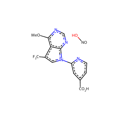 COc1ncnc2c1c(C(F)(F)F)cn2-c1cc(C(=O)O)ccn1.O=NO